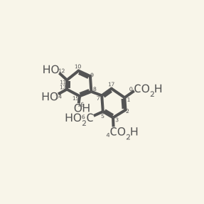 O=C(O)c1cc(C(=O)O)c(C(=O)O)c(-c2ccc(O)c(O)c2O)c1